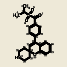 CC(C)S(=O)(=O)C(=O)c1ccc(C2=CC3(CCNCC3)Oc3ccccc32)cc1